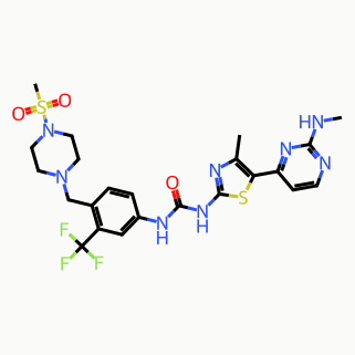 CNc1nccc(-c2sc(NC(=O)Nc3ccc(CN4CCN(S(C)(=O)=O)CC4)c(C(F)(F)F)c3)nc2C)n1